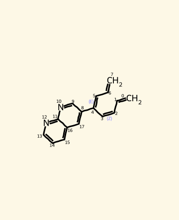 C=C/C=C\C(=C/C=C)c1cnc2ncccc2c1